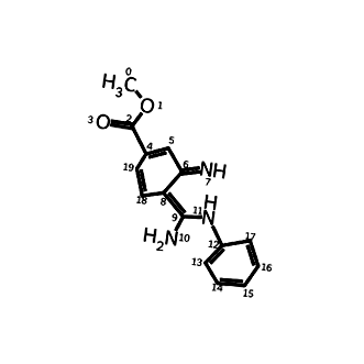 COC(=O)C1=CC(=N)/C(=C(/N)Nc2ccccc2)C=C1